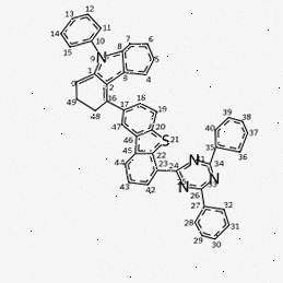 C1=c2c(c3ccccc3n2-c2ccccc2)=C(c2ccc3sc4c(-c5nc(-c6ccccc6)nc(-c6ccccc6)n5)cccc4c3c2)CC1